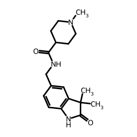 CN1CCC(C(=O)NCc2ccc3c(c2)C(C)(C)C(=O)N3)CC1